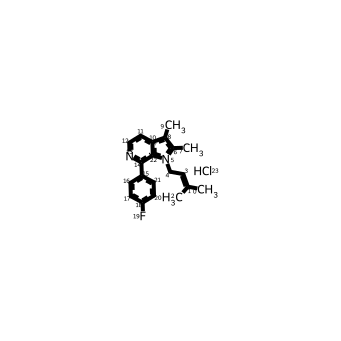 CC(C)=CCn1c(C)c(C)c2ccnc(-c3ccc(F)cc3)c21.Cl